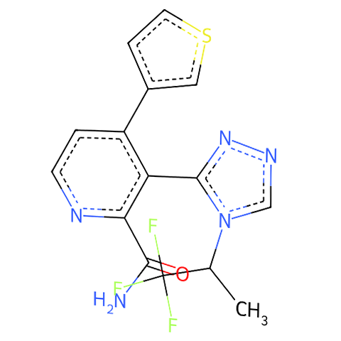 CC(n1cnnc1-c1c(-c2ccsc2)ccnc1C(N)=O)C(F)(F)F